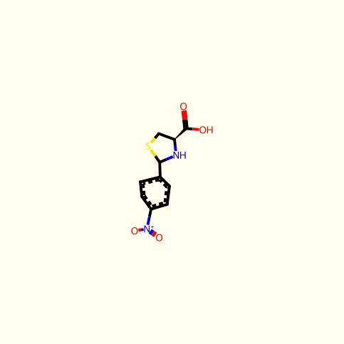 O=C(O)[C@@H]1CSC(c2ccc([N+](=O)[O-])cc2)N1